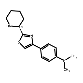 CN(C)c1ccc(-c2csc([C@H]3CCCCN3)n2)cc1